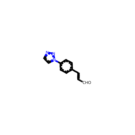 O=CC=Cc1ccc(-n2ccnn2)cc1